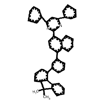 CC1(C)c2ccccc2-c2c(-c3cccc(-c4ccc(-c5nc(-c6ccccc6)cc(-c6ccccc6)n5)c5ccccc45)c3)cccc21